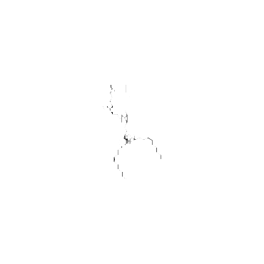 CCCCC/C=C\CCCO[Si](C)(CCCCN(CC)CCCN(CC)CCCC[SiH2]C)OCCC/C=C\CCCCC